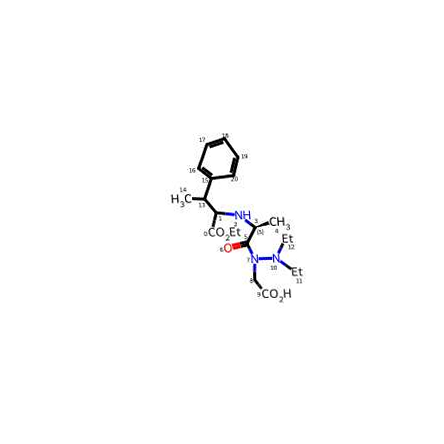 CCOC(=O)C(N[C@@H](C)C(=O)N(CC(=O)O)N(CC)CC)C(C)c1ccccc1